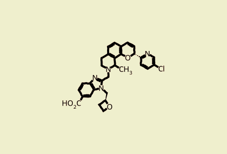 CC1c2c(ccc3c2O[C@@H](c2ccc(Cl)cn2)C=C3)CCN1Cc1nc2ccc(C(=O)O)cc2n1C[C@@H]1CCO1